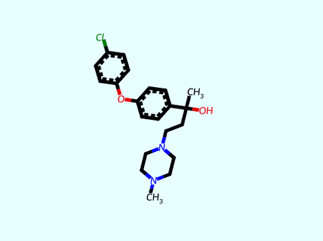 CN1CCN(CCC(C)(O)c2ccc(Oc3ccc(Cl)cc3)cc2)CC1